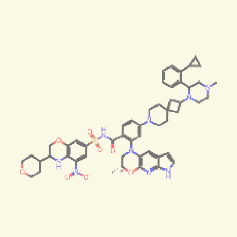 C[C@@H]1CN(c2cc(N3CCC4(CC3)CC(N3CCN(C)CC3c3ccccc3C3CC3)C4)ccc2C(=O)NS(=O)(=O)c2cc3c(c([N+](=O)[O-])c2)NC(C2CCOCC2)CO3)c2cc3cc[nH]c3nc2O1